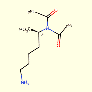 CCCC(=O)N(C(=O)CCC)[C@@H](CCCCN)C(=O)O